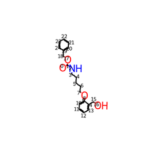 O=C(NCCCCCOc1ccccc1CO)OCc1ccccc1